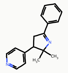 CC1(C)N=C(c2ccccc2)CC1c1ccncc1